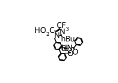 CCCCc1nc(C(F)(F)F)c(C(=O)O)n1Cc1ccc(-c2ccccc2S(=O)(=O)NC(=O)c2ccccc2)cc1